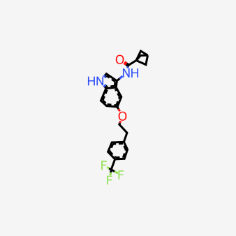 O=C(Nc1c[nH]c2ccc(OCCc3ccc(C(F)(F)F)cc3)cc12)C12CC(C1)C2